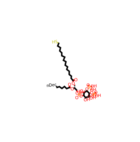 CCCCCCCCCCCCCCCC(=O)O[C@H](COC(=O)CCCCCCCCCCCCCCCCS)COP(=O)(O)OC1C(O)[C@@H](OP(=O)(O)O)C(OP(=O)(O)O)[C@@H](O)[C@H]1O